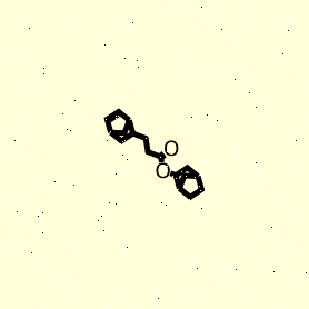 O=C(CCC1CC2C=CC1C2)OC1CC2CCC1C2